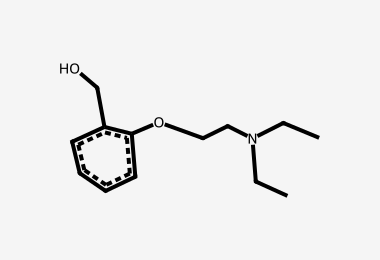 CCN(CC)CCOc1ccccc1CO